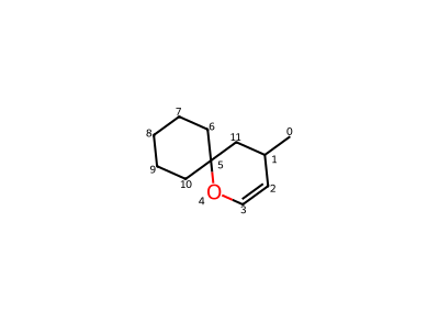 CC1C=COC2(CCCCC2)C1